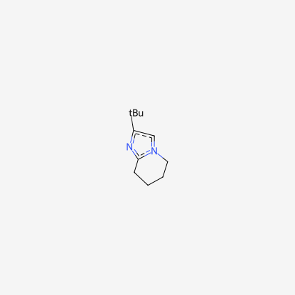 CC(C)(C)c1cn2c(n1)CCCC2